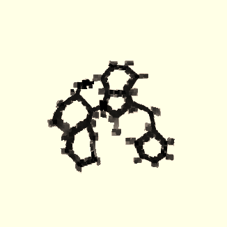 CCCc1ccc2ccccc2c1-n1c(C)c(Cc2ccccc2)c2ccccc21